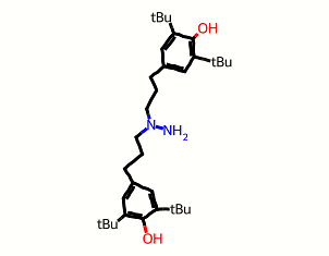 CC(C)(C)c1cc(CCCN(N)CCCc2cc(C(C)(C)C)c(O)c(C(C)(C)C)c2)cc(C(C)(C)C)c1O